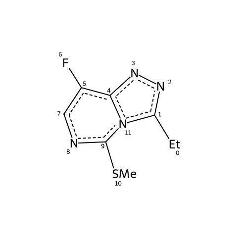 CCc1nnc2c(F)cnc(SC)n12